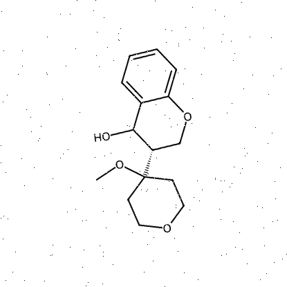 COC1([C@H]2COc3ccccc3C2O)CCOCC1